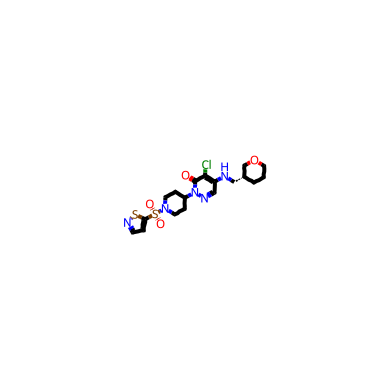 O=c1c(Cl)c(NC[C@H]2CCCOC2)cnn1C1CCN(S(=O)(=O)c2ccns2)CC1